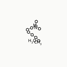 CC1(C)c2ccccc2-c2ccc(-c3ccc(-c4ccc5cccc(-c6ccc(-c7nc(-c8ccccc8)cc(-c8ccccc8)n7)cc6)c5c4)cc3)cc21